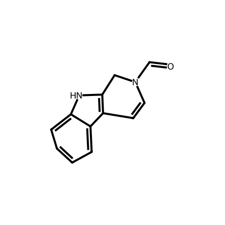 O=CN1C=Cc2c([nH]c3ccccc23)C1